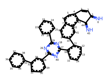 N=C1C=Cc2ccc3ccc(-c4ccccc4-c4nc(-c5ccccc5)nc(-c5cccc(-c6ccccc6)c5)n4)cc3c2C1=N